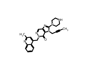 CC#CCn1c(N2CCNCC2)nc2cnn(Cc3cc(C)nc4ccccc34)c(=O)c21